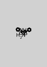 Nc1sc(-c2ccccc2)cc1C(=O)Nc1ccccc1